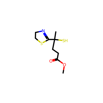 COC(=O)CCC(C)(S)C1=NCCS1